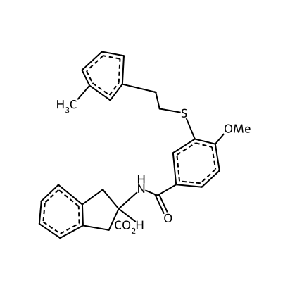 COc1ccc(C(=O)NC2(C(=O)O)Cc3ccccc3C2)cc1SCCc1cccc(C)c1